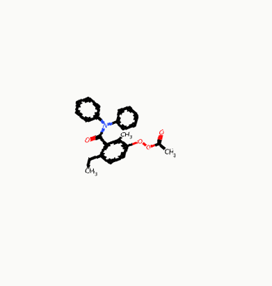 CCc1ccc(OOC(C)=O)c(C)c1C(=O)N(c1ccccc1)c1ccccc1